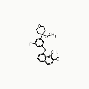 COC1(c2cc(F)cc(Sc3cccc4ccc(=O)n(C)c34)c2)CCOCC1